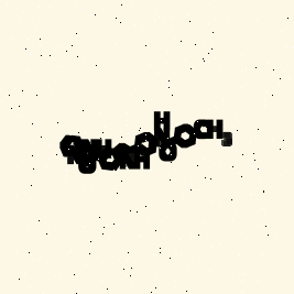 CC1CCC(C(=O)Nc2ccc(-c3cc4cc(C(=O)Nc5ccccn5)ccc4[nH]3)cc2)CC1